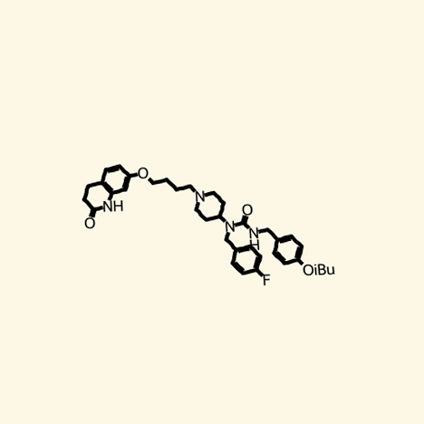 CC(C)COc1ccc(CNC(=O)N(Cc2ccc(F)cc2)C2CCN(CCCCOc3ccc4c(c3)NC(=O)CC4)CC2)cc1